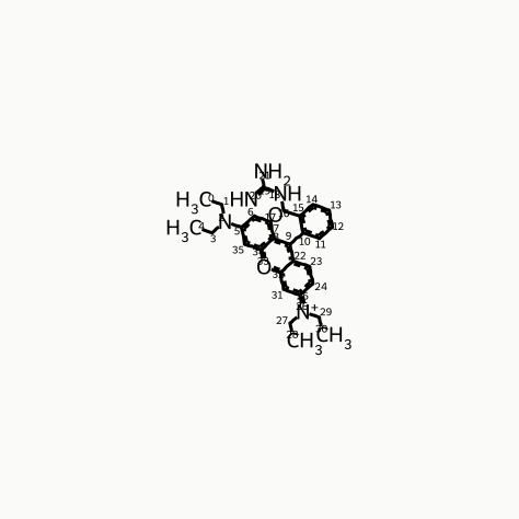 CCN(CC)c1ccc2c(-c3ccccc3C(=O)NC(=N)N)c3ccc(=[N+](CC)CC)cc-3oc2c1